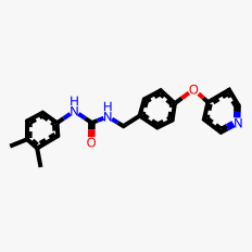 Cc1ccc(NC(=O)NCc2ccc(Oc3ccncc3)cc2)cc1C